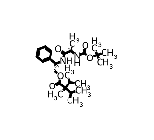 CC(C)C(C)(C(=O)OC[C@@H](NC(=O)[C@@H](C)NC(=O)OC(C)(C)C)c1ccccc1)C(C)C